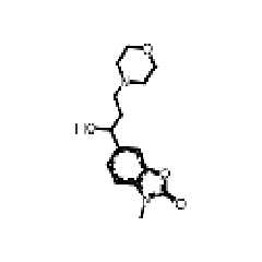 Cn1c(=O)oc2cc(C(O)CCN3CCOCC3)ccc21